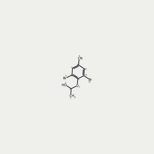 CC(O)Oc1c(Br)cc(C#N)cc1Br